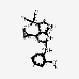 COc1c[c]ccc1Nc1nc(C2CC2)c2c(C(F)(F)F)c[nH]c2n1